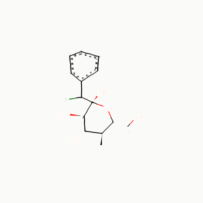 C[C@H]1[C@H](O)[C@@H](O)[C@](O)(C(F)c2ccccc2)O[C@@H]1CO